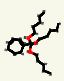 CCCCCO[Si](OCCCCC)(OCCCCC)C1=CC=CCCC1